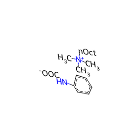 CCCCCCCC[N+](C)(C)C.O=C([O-])Nc1ccccc1